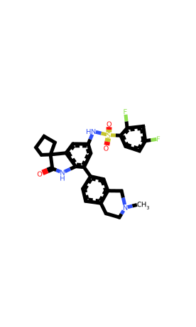 CN1CCc2ccc(-c3cc(NS(=O)(=O)c4ccc(F)cc4F)cc4c3NC(=O)C43CCCC3)cc2C1